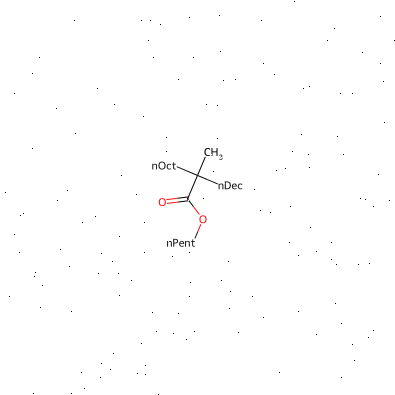 CCCCCCCCCCC(C)(CCCCCCCC)C(=O)OCCCCC